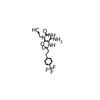 C#CCn1c(=O)[nH]c(N)c(NC(=O)CCc2ccc(C(F)(F)F)cc2)c1=O